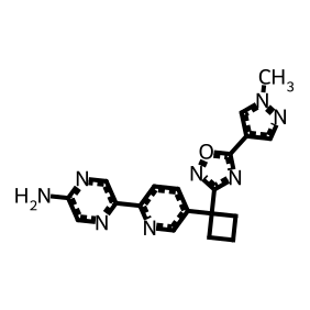 Cn1cc(-c2nc(C3(c4ccc(-c5cnc(N)cn5)nc4)CCC3)no2)cn1